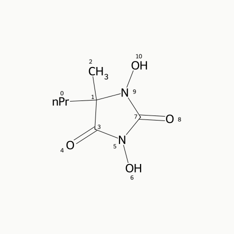 CCCC1(C)C(=O)N(O)C(=O)N1O